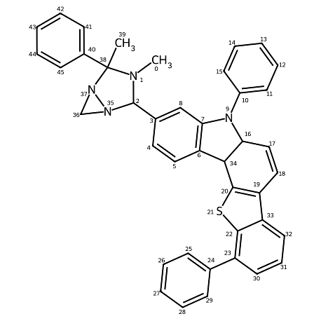 CN1C(c2ccc3c(c2)N(c2ccccc2)C2C=Cc4c(sc5c(-c6ccccc6)cccc45)C32)N2CN2C1(C)c1ccccc1